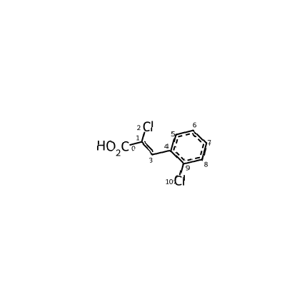 O=C(O)C(Cl)=Cc1ccccc1Cl